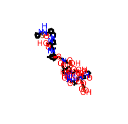 Cc1c(-c2ccc(N3CCc4cccc(C(=O)Nc5nc6ccccc6s5)c4C3)nc2C(=O)O)cnn1CC12CC3(C)CC(C)(C1)CC(OCCN(CCS(=O)(=O)O)C(=O)OCc1ccc(NC(=O)[C@H](C)NC(=O)[C@@H](NC(=O)CN4C(=O)[C@H](N5C(=O)C=CC5=O)C[C@H]4COCCS(=O)(=O)O)C(C)C)cc1CC[C@@H]1O[C@H](C(=O)O)[C@@H](O)[C@H](O)[C@H]1O)(C3)C2